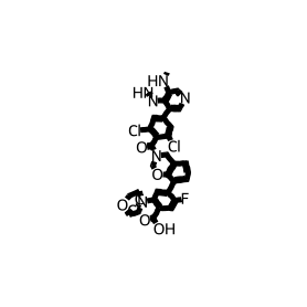 CNc1cncc(-c2cc(Cl)c(C(=O)N3COc4c(cccc4-c4cc(N5CC6CCCC5CO6)c(C(=O)O)cc4F)C3)c(Cl)c2)c1N=N